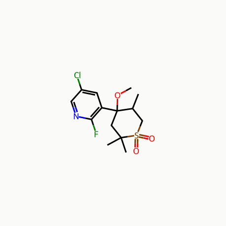 COC1(c2cc(Cl)cnc2F)CC(C)(C)S(=O)(=O)CC1C